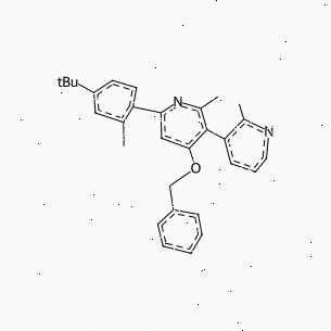 Cc1cc(C(C)(C)C)ccc1-c1cc(OCc2ccccc2)c(-c2cccnc2C)c(C)n1